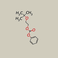 CC(C)(C)OCCOC(=O)Oc1ccccc1